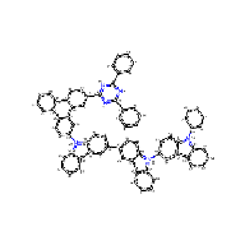 c1ccc(-c2nc(-c3ccccc3)nc(-c3ccc4c5ccccc5c5ccc(-n6c7ccccc7c7cc(-c8ccc9c(c8)c8ccccc8n9-c8ccc9c(c8)c8ccccc8n9-c8ccccc8)ccc76)cc5c4c3)n2)cc1